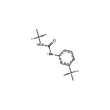 CC(C)(C)NC(=O)Nc1cccc(C(C)(C)C)c1